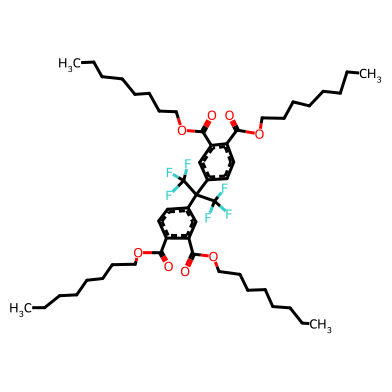 CCCCCCCCOC(=O)c1ccc(C(c2ccc(C(=O)OCCCCCCCC)c(C(=O)OCCCCCCCC)c2)(C(F)(F)F)C(F)(F)F)cc1C(=O)OCCCCCCCC